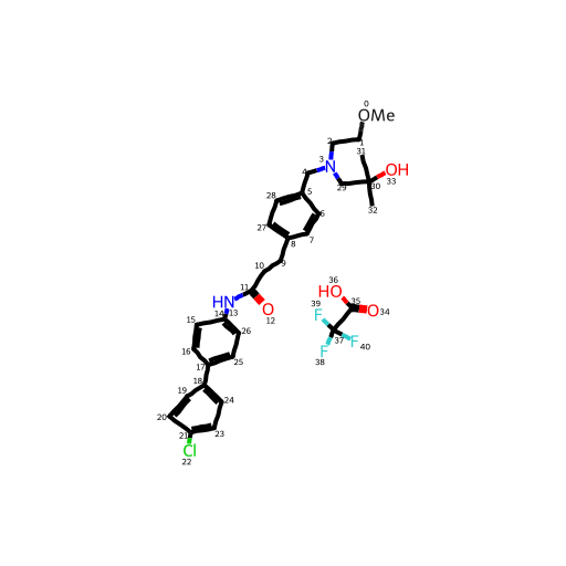 COCCN(Cc1ccc(CCC(=O)Nc2ccc(-c3ccc(Cl)cc3)cc2)cc1)CC(C)(C)O.O=C(O)C(F)(F)F